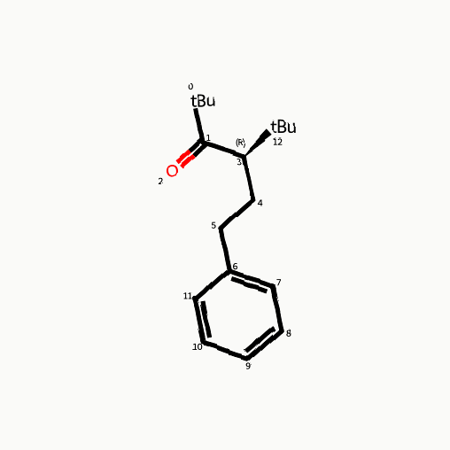 CC(C)(C)C(=O)[C@H](CCc1ccccc1)C(C)(C)C